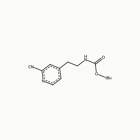 [C-]#[N+]c1cc(CCNC(=O)OC(C)(C)C)ccn1